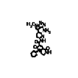 Cn1cc(-c2ccc(NC(=O)c3cc4c(n(-c5ccccc5)c3=O)CCNC4=O)nc2)c2c(N)ncnc21